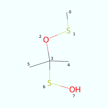 CSOC(C)(C)SO